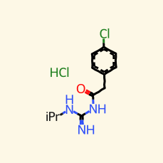 CC(C)NC(=N)NC(=O)Cc1ccc(Cl)cc1.Cl